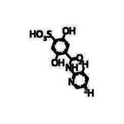 [2H]c1cnc(NC(=O)c2cc(O)c(S(=O)(=O)O)cc2O)c([2H])c1